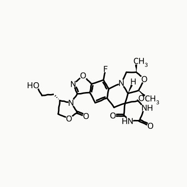 C[C@@H]1CN2c3c(cc4c(N5C(=O)OC[C@@H]5CCO)noc4c3F)CC3(C(=O)NC(=O)NC3=O)[C@H]2[C@H](C)O1